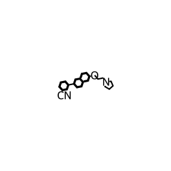 N#Cc1cccc(-c2ccc3cc(OCCN4CCCC4)ccc3c2)c1